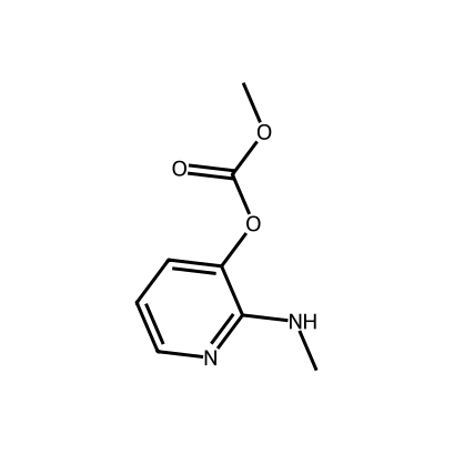 CNc1ncccc1OC(=O)OC